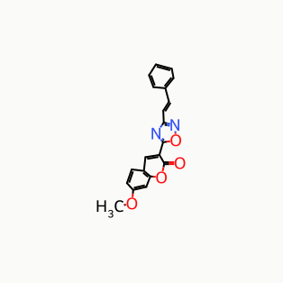 COc1ccc2cc(-c3nc(C=Cc4ccccc4)no3)c(=O)oc2c1